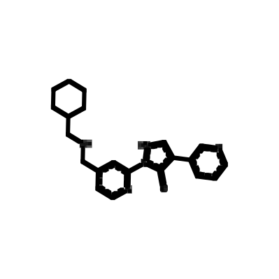 O=c1c(-c2cccnc2)c[nH]n1-c1cc(CNCC2CCCCC2)ccn1